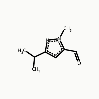 CC(C)c1cc(C=O)n(C)n1